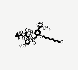 Cc1ncsc1-c1ccc(CNC(=O)[C@@H]2C[C@@H](O)CN2C(=O)C(NC(=O)C2(F)CC2)C(C)(C)C)c(OCCCCCCCC=O)c1